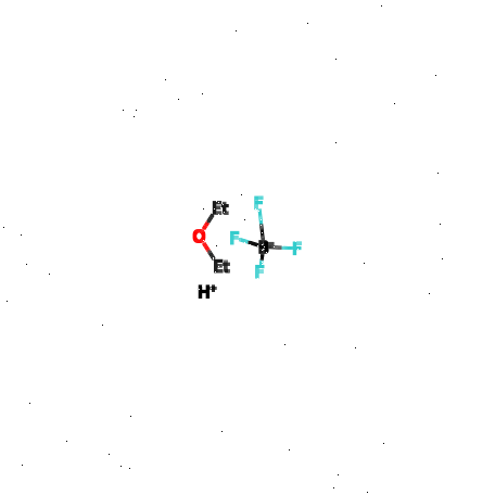 CCOCC.F[B-](F)(F)F.[H+]